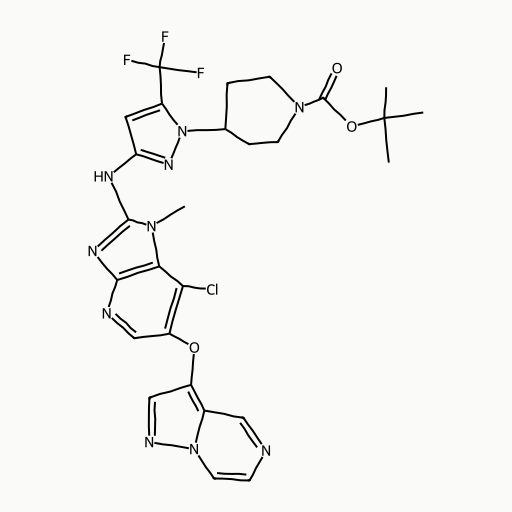 Cn1c(Nc2cc(C(F)(F)F)n(C3CCN(C(=O)OC(C)(C)C)CC3)n2)nc2ncc(Oc3cnn4ccncc34)c(Cl)c21